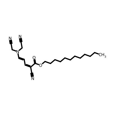 CCCCCCCCCCCCOC(=O)/C(C#N)=C\C=C\N(CC#N)CC#N